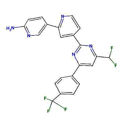 Nc1ccc(-c2cc(-c3nc(-c4ccc(C(F)(F)F)cc4)cc(C(F)F)n3)ccn2)cn1